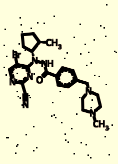 C[C@@H]1CCC[C@H]1N(NC(=O)c1ccc(CN2CCN(C)CC2)cc1)c1nc(C#N)ncc1Br